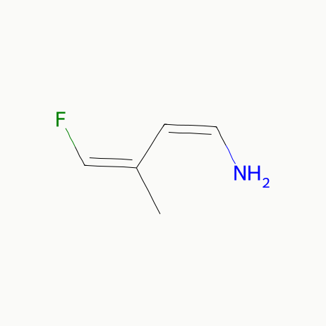 CC(/C=C\N)=C/F